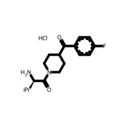 CC(C)[C@@H](N)C(=O)N1CCC(C(=O)c2ccc(F)cc2)CC1.Cl